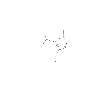 CSc1cn[nH]c1C(C)C